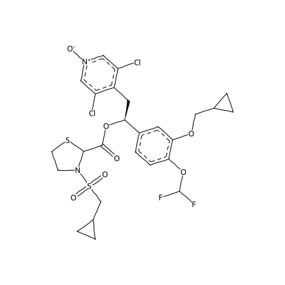 O=C(O[C@@H](Cc1c(Cl)c[n+]([O-])cc1Cl)c1ccc(OC(F)F)c(OCC2CC2)c1)C1SCCN1S(=O)(=O)CC1CC1